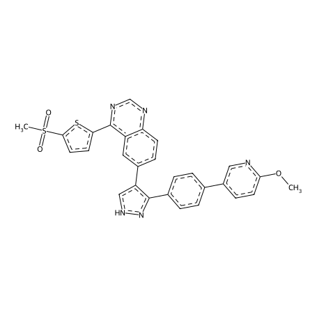 COc1ccc(-c2ccc(-c3n[nH]cc3-c3ccc4ncnc(-c5ccc(S(C)(=O)=O)s5)c4c3)cc2)cn1